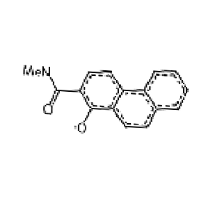 CNC(=O)c1ccc2c(ccc3ccccc32)c1[O]